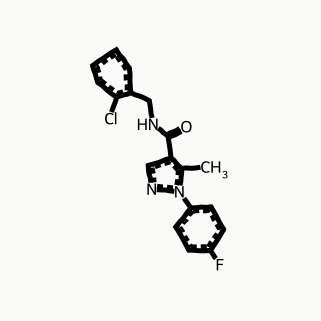 Cc1c(C(=O)NCc2ccccc2Cl)cnn1-c1ccc(F)cc1